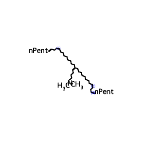 CCCCCC=CC/C=C\CCCCCCCCC(=CCCCCN(C)C)CCCCCCCC/C=C\C/C=C\CCCCC